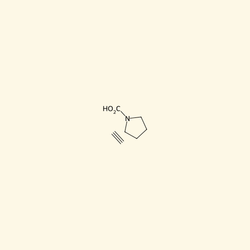 C#C.O=C(O)N1CCCC1